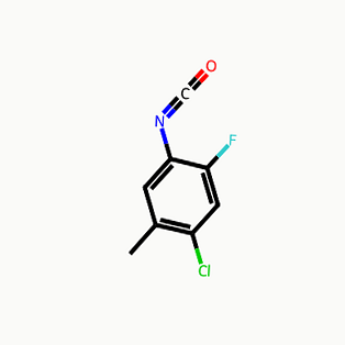 Cc1cc(N=C=O)c(F)cc1Cl